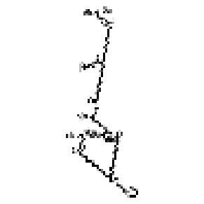 CCCCC(CCCC)CCOC(=O)CCCCCCCCCC(CCCCCCCCCC(=O)OCC(CCCCC(CCCC)CCOC(=O)CCCCCCCCCC(CCCCCCCCCC(=O)OCCC(CCCC)CCCC)C(=O)OCCN(C)C)C(CCCC)CCCC)COCCCN1CCCCC1